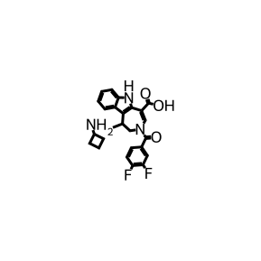 CC1CN(C(=O)c2ccc(F)c(F)c2)C=C(C(=O)O)c2[nH]c3ccccc3c21.NC1CCC1